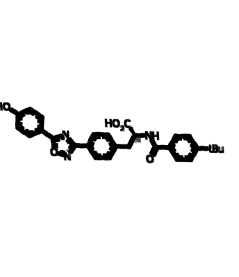 CC(C)(C)c1ccc(C(=O)N[C@@H](Cc2ccc(-c3noc(-c4ccc(O)cc4)n3)cc2)C(=O)O)cc1